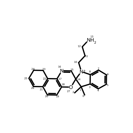 CC1(C)c2ccccc2N(CCCN)C12C=Nc1c(ccc3c1CCC=C3)O2